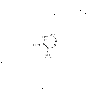 NC1=C(O)NOC=C1